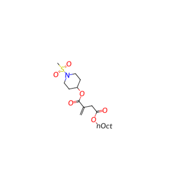 C=C(CC(=O)OCCCCCCCC)C(=O)OC1CCN(S(C)(=O)=O)CC1